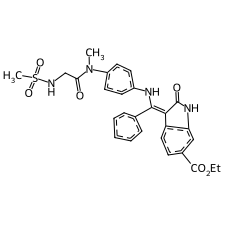 CCOC(=O)c1ccc2c(c1)NC(=O)/C2=C(\Nc1ccc(N(C)C(=O)CNS(C)(=O)=O)cc1)c1ccccc1